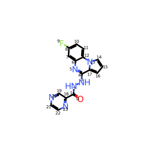 O=C(NNc1nc2cc(F)ccc2n2cccc12)c1cnccn1